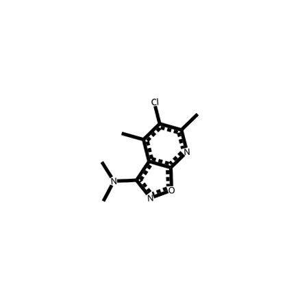 Cc1nc2onc(N(C)C)c2c(C)c1Cl